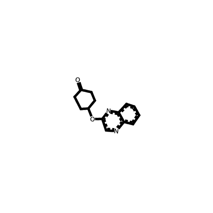 O=C1CCC(Oc2cnc3ccccc3n2)CC1